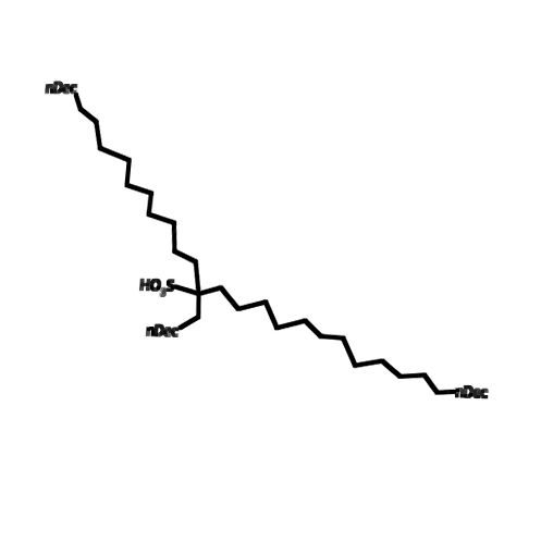 CCCCCCCCCCCCCCCCCCCCCCC(CCCCCCCCCCC)(CCCCCCCCCCCCCCCCCCCC)S(=O)(=O)O